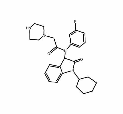 O=C1C(N(C(=O)CN2CCNCC2)c2cccc(F)c2)c2ccccc2N1C1CCCCC1